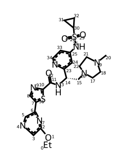 CCOc1cncc(-c2cnc(C(=O)N[C@@H](CN3CCN(C)CC3)c3cc(NS(=O)(=O)C4CC4)ccn3)s2)n1